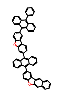 c1ccc(-c2c3ccccc3c(-c3ccc4oc5cc(-c6c7ccccc7c(-c7ccc8oc9cc%10ccccc%10cc9c8c7)c7ccccc67)ccc5c4c3)c3ccccc23)cc1